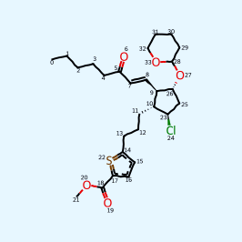 CCCCCC(=O)/C=C/[C@@H]1[C@@H](CCCc2ccc(C(=O)OC)s2)[C@H](Cl)C[C@H]1OC1CCCCO1